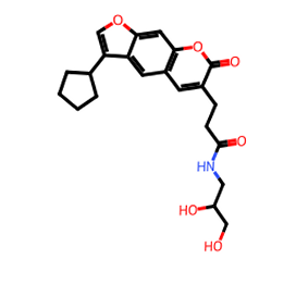 O=C(CCc1cc2cc3c(C4CCCC4)coc3cc2oc1=O)NCC(O)CO